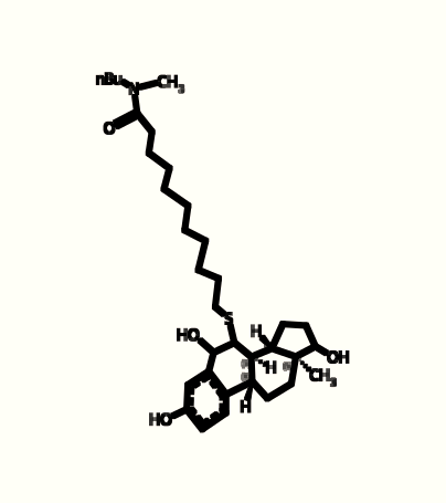 CCCCN(C)C(=O)CCCCCCCCCCSC1C(O)c2cc(O)ccc2[C@H]2CC[C@]3(C)C(O)CC[C@H]3[C@H]12